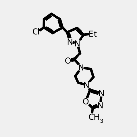 CCc1cc(-c2cccc(Cl)c2)nn1CC(=O)N1CCN(c2nnc(C)o2)CC1